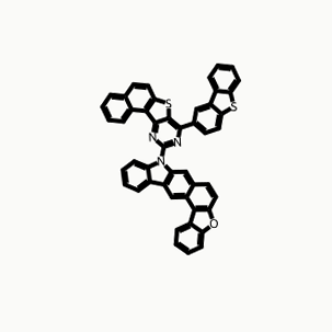 c1ccc2c(c1)ccc1sc3c(-c4ccc5sc6ccccc6c5c4)nc(-n4c5ccccc5c5cc6c(ccc7oc8ccccc8c76)cc54)nc3c12